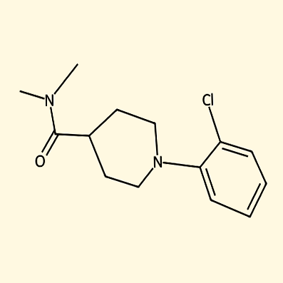 CN(C)C(=O)C1CCN(c2ccccc2Cl)CC1